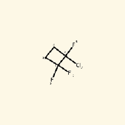 FC1(F)[CH]CC1(F)Cl